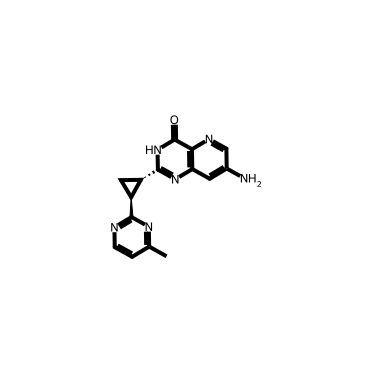 Cc1ccnc([C@H]2C[C@@H]2c2nc3cc(N)cnc3c(=O)[nH]2)n1